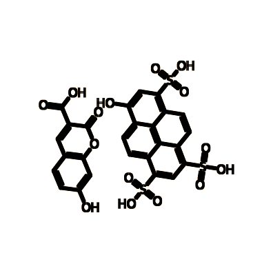 O=C(O)c1cc2ccc(O)cc2oc1=O.O=S(=O)(O)c1cc(O)c2ccc3c(S(=O)(=O)O)cc(S(=O)(=O)O)c4ccc1c2c34